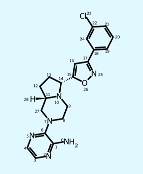 Nc1nccnc1N1CCN2[C@@H](CC[C@@H]2c2cc(-c3cccc(Cl)c3)no2)C1